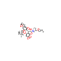 COCC1CCCN(C(=O)CC(c2ccc3c(c2)OCO3)c2c(O)cc(OC)cc2OC)C1